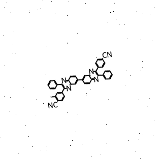 Cc1cc(-c2nc3cc(-c4ccc5nc(-c6ccccc6)c(-c6ccc(C#N)cc6)nc5c4)ccc3nc2-c2ccccc2)ccc1C#N